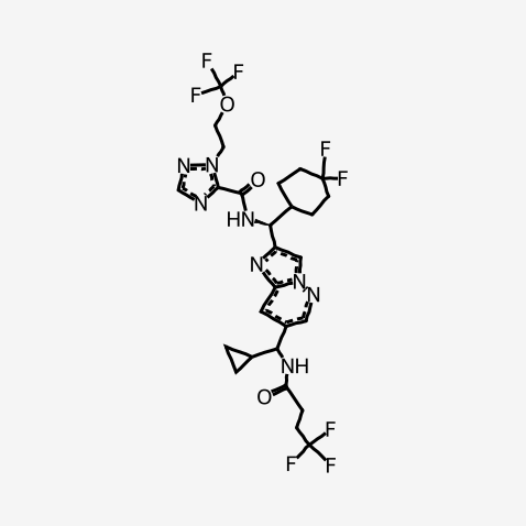 O=C(CCC(F)(F)F)NC(c1cnn2cc([C@@H](NC(=O)c3ncnn3CCOC(F)(F)F)C3CCC(F)(F)CC3)nc2c1)C1CC1